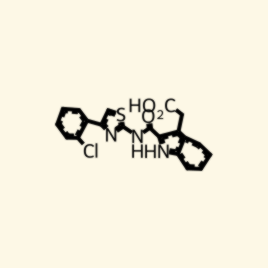 O=C(O)Cc1c(C(=O)Nc2nc(-c3ccccc3Cl)cs2)[nH]c2ccccc12